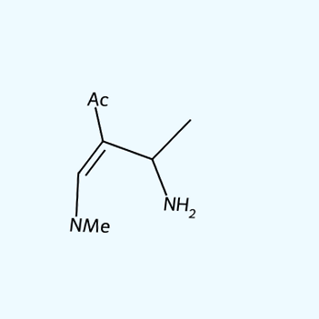 CN/C=C(/C(C)=O)C(C)N